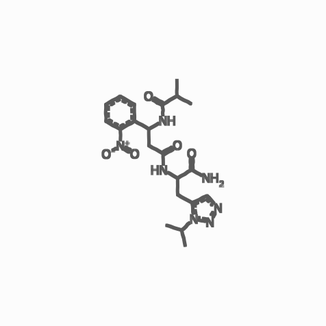 CC(C)C(=O)NC(CC(=O)NC(Cc1cnnn1C(C)C)C(N)=O)c1ccccc1[N+](=O)[O-]